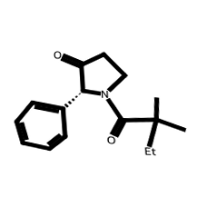 CCC(C)(C)C(=O)N1CCC(=O)[C@H]1c1ccccc1